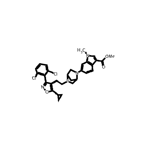 COC(=O)c1cn(C)c2cc(N3CC4CC3CN4CCc3c(-c4c(Cl)cccc4Cl)noc3C3CC3)ccc12